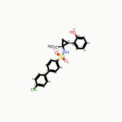 O=C(O)[C@@]1(NS(=O)(=O)c2ccc(-c3ccc(Cl)cc3)cc2)C[C@H]1c1ccccc1O